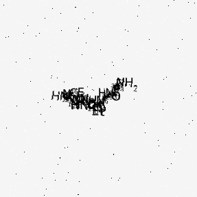 CCc1cc(Nc2nccn3c(-c4c[nH]nc4C(F)(F)F)cnc23)ccc1C(=O)NCCCNC(=O)[C@H]1C[C@H](N)C1